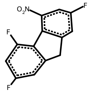 O=[N+]([O-])c1cc(F)cc2c1-c1c(F)cc(F)cc1C2